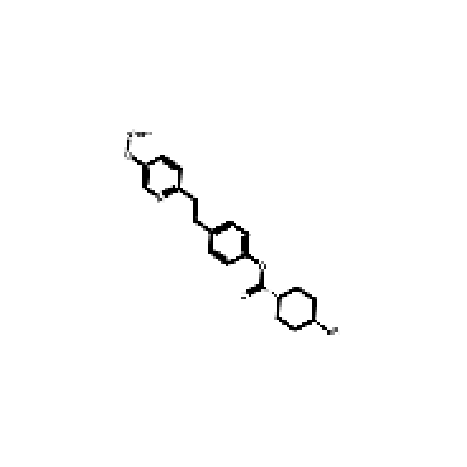 CCCCCOc1ccc(CCc2ccc(OC(=O)[C@H]3CC[C@H](CCC)CC3)cc2)nc1